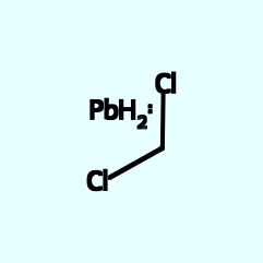 ClCCl.[PbH2]